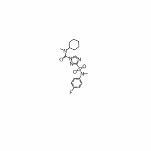 CN(C(=O)n1cnc(S(=O)(=O)N(C)c2ccc(F)cc2)n1)C1CCCCC1